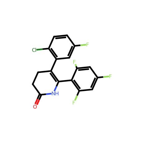 O=C1CCC(c2cc(F)ccc2Cl)=C(c2c(F)cc(F)cc2F)N1